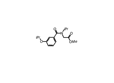 COC(=O)CN(C(=O)c1cccc(OC(C)C)c1)C(C)C